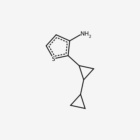 Nc1ccsc1C1CC1C1CC1